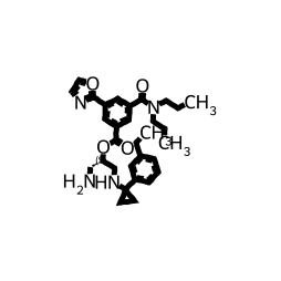 CCCN(CCC)C(=O)c1cc(C(=O)O[C@@H](CN)CNC2(c3cccc(CC)c3)CC2)cc(-c2ncco2)c1